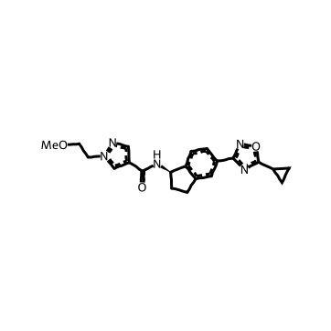 COCCn1cc(C(=O)N[C@@H]2CCc3cc(-c4noc(C5CC5)n4)ccc32)cn1